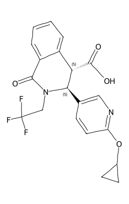 O=C(O)[C@H]1c2ccccc2C(=O)N(CC(F)(F)F)[C@@H]1c1ccc(OC2CC2)nc1